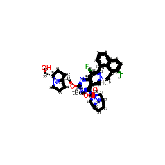 C#Cc1c(F)ccc2cccc(-c3ncc4c(N5CC6CCC(C5)N6C(=O)OC(C)(C)C)nc(OC[C@]56CCCN5[C@H](CO)CC6)nc4c3F)c12